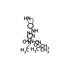 C=CCn1c(=O)c2cnc(Nc3ccc4c(c3)CCNC4)nc2n1-c1cnc(C(C)(C)C)o1